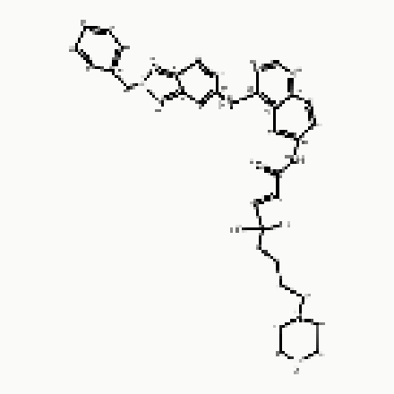 O=C(C=CC(F)(F)CCCCN1CCOCC1)Nc1ccc2ncnc(Nc3ccc4nn(Cc5ccccc5)nc4c3)c2c1